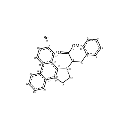 COC(=O)C(Cc1ccccc1)N1CC[n+]2c1c1ccccc1c1ccccc12.[Br-]